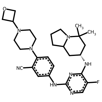 CC1(C)C[C@H](Nc2nc(Nc3ccc(N4CCN(C5COC5)CC4)c(C#N)c3)ncc2F)CC2CCCN21